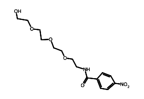 O=C(NCCOCCOCCOCCO)c1ccc([N+](=O)[O-])cc1